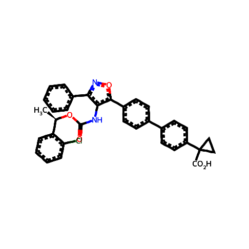 C[C@@H](OC(=O)Nc1c(-c2ccccc2)noc1-c1ccc(-c2ccc(C3(C(=O)O)CC3)cc2)cc1)c1ccccc1Cl